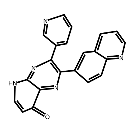 O=c1cc[nH]c2nc(-c3cccnc3)c(-c3ccc4ncccc4c3)nc12